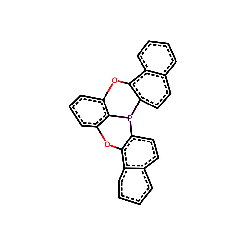 c1cc2c3c(c1)Oc1c(ccc4ccccc14)P3c1ccc3ccccc3c1O2